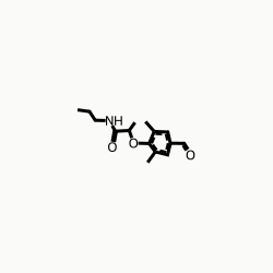 CCCNC(=O)C(C)Oc1c(C)cc(C=O)cc1C